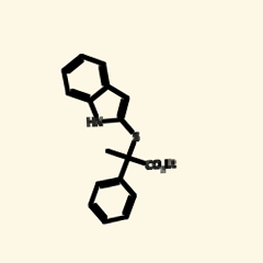 CCOC(=O)C(C)(Sc1cc2ccccc2[nH]1)c1ccccc1